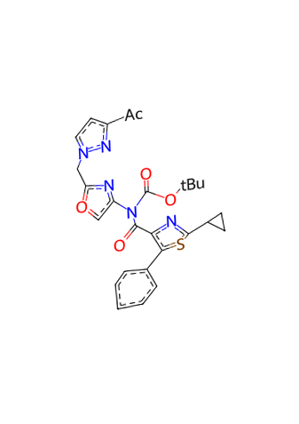 CC(=O)c1ccn(Cc2nc(N(C(=O)OC(C)(C)C)C(=O)c3nc(C4CC4)sc3-c3ccccc3)co2)n1